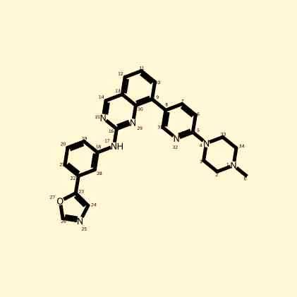 CN1CCN(c2ccc(-c3cccc4cnc(Nc5cccc(-c6cnco6)c5)nc34)cn2)CC1